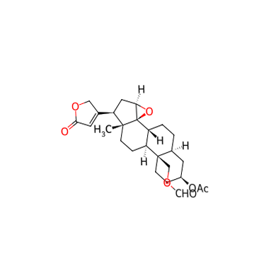 CC(=O)O[C@H]1CC[C@@]2(COC=O)[C@@H](CC[C@@H]3[C@@H]2CC[C@]2(C)[C@@H](C4=CC(=O)OC4)C[C@H]4O[C@]342)C1